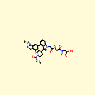 CC(=O)N1CCC(c2nn(CC(=O)NCC(=O)NCC(=O)O)c3cccc(-c4cc(F)c5cnn(C)c5c4)c23)CC1